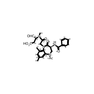 CC(=O)N1C[C@H](NC(=O)c2ccccc2)C(=O)N(CC(=O)N(C)[C@H](C=O)CC(=O)O)c2c(C)cc(C)cc21